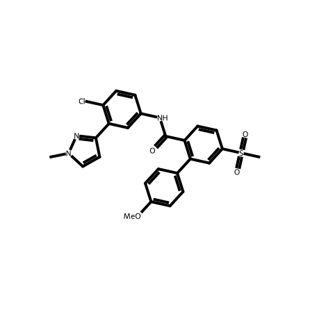 COc1ccc(-c2cc(S(C)(=O)=O)ccc2C(=O)Nc2ccc(Cl)c(-c3ccn(C)n3)c2)cc1